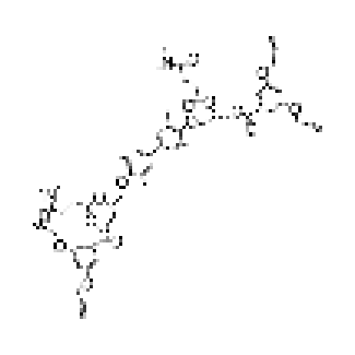 C#CCOc1cc(OCC#C)cc(C(=O)OCC(COc2c(C)cc(-c3cc(C)c(OCC(COC(=O)c4cc(OCC#C)cc(OCC#C)c4)OC(=O)CCC(=O)N(C)C)c(C)c3)cc2C)OC(=O)CCC(=O)N(C)C)c1